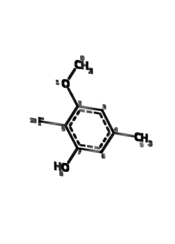 COc1cc(C)cc(O)c1F